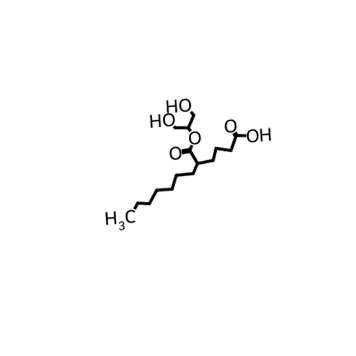 CCCCCCCC(CCCC(=O)O)C(=O)OC(CO)CO